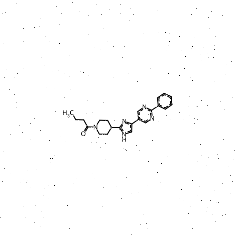 CCCC(=O)N1CCC(c2nc(-c3cnc(-c4ccccc4)nc3)c[nH]2)CC1